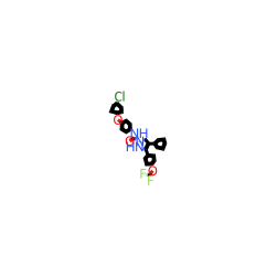 O=C(Nc1ccc(Oc2ccc(Cl)cc2)cc1)N1CC(c2ccccc2)=C(c2ccc(OC(F)F)cc2)N1